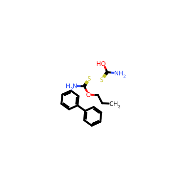 CCCOC(N)=S.NC(O)=S.c1ccc(-c2ccccc2)cc1